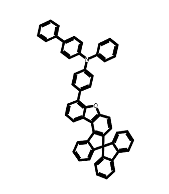 c1ccc(-c2ccc(N(c3ccccc3)c3ccc(-c4cccc5c4oc4ccc6c(c45)-c4ccccc4C64c5ccccc5-c5ccccc54)cc3)cc2)cc1